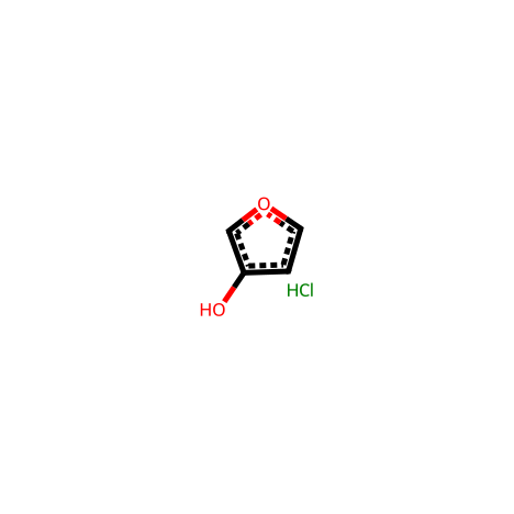 Cl.Oc1ccoc1